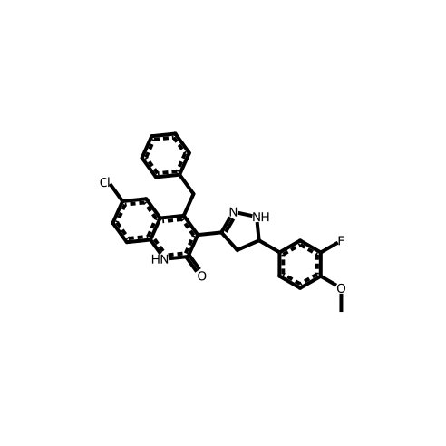 COc1ccc(C2CC(c3c(Cc4ccccc4)c4cc(Cl)ccc4[nH]c3=O)=NN2)cc1F